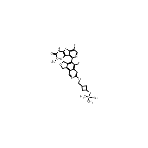 CC(C)(C)OC(=O)Nc1sc2c(F)cnc(-c3c4c(c5cnc(OCC6CC(O[Si](C)(C)C(C)(C)C)C6)nc5c3F)COC4)c2c1C#N